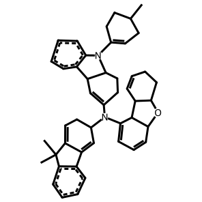 CC1CC=C(N2c3ccccc3C3C=C(N(C4=CC=CC5OC6CCC=CC6C45)C4C=C5C(=CC4)C(C)(C)c4ccccc45)CCC32)CC1